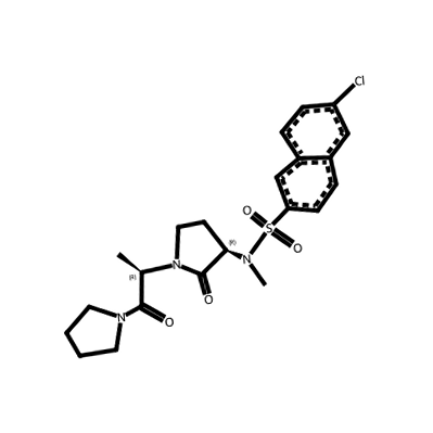 C[C@H](C(=O)N1CCCC1)N1CC[C@@H](N(C)S(=O)(=O)c2ccc3cc(Cl)ccc3c2)C1=O